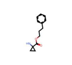 [NH]C1(C(=O)OCCCc2ccccc2)CC1